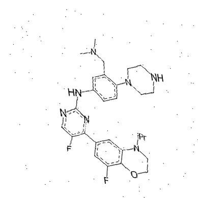 CC(C)N1CCOc2c(F)cc(-c3nc(Nc4ccc(N5CCNCC5)c(CN(C)C)c4)ncc3F)cc21